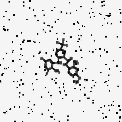 COc1ccc(NC(=O)c2cc(C(F)(F)F)ccc2Nc2cc(F)cc(F)c2C)c(C)n1